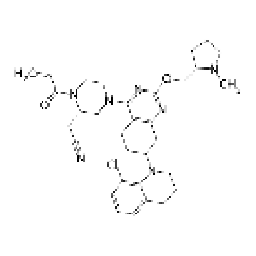 C=CC(=O)N1CCN(c2nc(OC[C@@H]3CCCN3C)nc3c2CCC(N2CCCc4cccc(Cl)c42)C3)C[C@@H]1CC#N